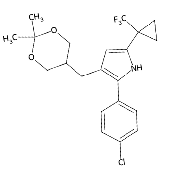 CC1(C)OCC(Cc2cc(C3(C(F)(F)F)CC3)[nH]c2-c2ccc(Cl)cc2)CO1